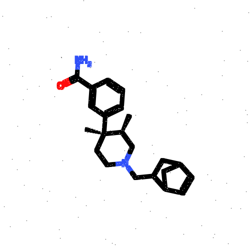 C[C@H]1CN(CC2CC3C=CC2C3)CC[C@@]1(C)c1cccc(C(N)=O)c1